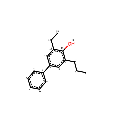 CCCc1cc(-c2ccccc2)cc(CC)c1O